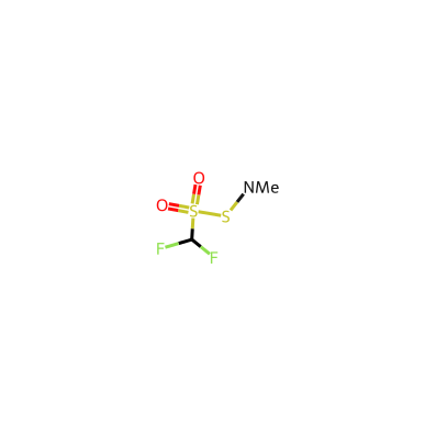 CNSS(=O)(=O)C(F)F